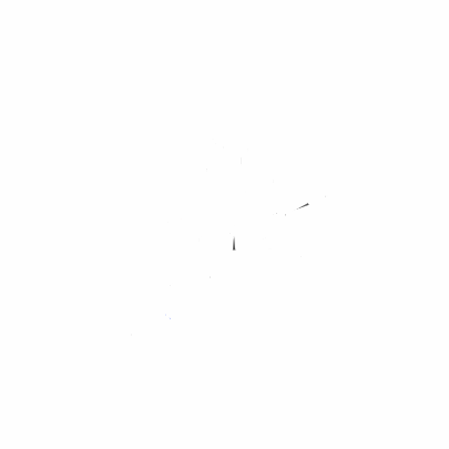 CNC(=O)O[C@@H]1OC[C@H](C(=O)O)[C@H]2C[C@@H]3OC3(C)[C@H]12